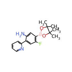 CC1(C)OB(c2cc(N)c(-c3ccccn3)cc2F)OC1(C)C